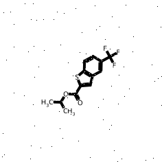 CC(C)OC(=O)c1cc2cc(C(F)(F)F)ccc2s1